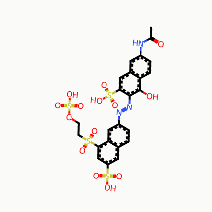 CC(=O)Nc1ccc2c(O)c(/N=N/c3ccc4cc(S(=O)(=O)O)cc(S(=O)(=O)CCOS(=O)(=O)O)c4c3)c(S(=O)(=O)O)cc2c1